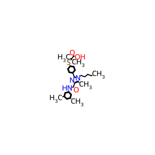 CCCCCn1c(-c2ccc(SC(C)(C)C(=O)O)cc2)nc(C(=O)Nc2cc(C)cc(C)c2)c1C